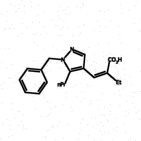 CCCc1c(C=C(CC)C(=O)O)cnn1Cc1ccccc1